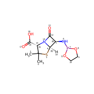 CC1(C)S[C@@H]2[C@H](NP3OCCO3)C(=O)N2[C@H]1C(=O)O